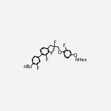 CCCCCCOc1ccc(OCC(F)(F)Cc2ccc(-c3ccc(CCCC)c(F)c3)c(F)c2F)c(F)c1